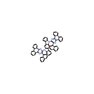 c1ccc2c(-c3nc4c5ccccc5c5ccccc5c4nc3-n3c4ccccc4c4cc5c(cc43)c3ccccc3n5-c3nc4c5ccccc5c5ccccc5c4nc3-c3cccc4ccccc34)cccc2c1